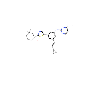 CC1(C)C[C@@](O)(c2ncc(-c3cc(C=CC4CC4)cc(Nc4nccc(C(F)(F)F)n4)c3)s2)CC[C@@H]1C(=O)O